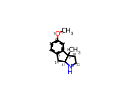 COc1ccc2c(c1)C1(C)CCNC1C2